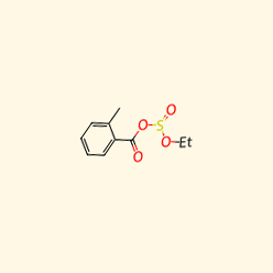 CCOS(=O)OC(=O)c1ccccc1C